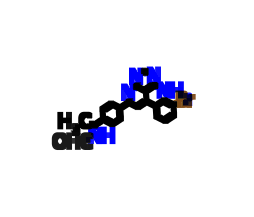 CC(NC=O)c1ccc(-c2cc(-c3cccc(Br)c3)c3c(N)ncnc3n2)cc1